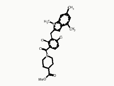 COC(=O)C1CCN(C(=O)c2ccc(Cl)c(Cc3cc4c(C)cc(C)cc4n3C)c2Cl)CC1